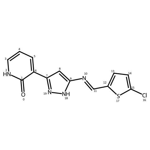 O=c1[nH]cccc1-c1cc(/N=C/c2ccc(Cl)s2)[nH]n1